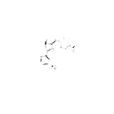 O=C1OC(c2cccc(C(F)(F)F)c2)=NC1=CN1CCN(C(=O)O)CC1